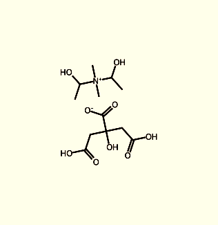 CC(O)[N+](C)(C)C(C)O.O=C(O)CC(O)(CC(=O)O)C(=O)[O-]